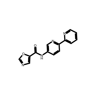 O=C(Nc1ccc(-c2ccccn2)nc1)c1cnco1